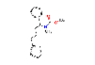 CN(C(=O)OC(C)(C)C)[C@@H](C/C=C/c1ccccc1)c1ccccc1